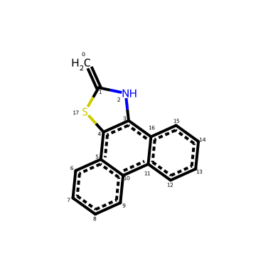 C=C1Nc2c(c3ccccc3c3ccccc23)S1